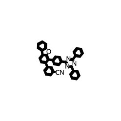 N#Cc1cccc(-c2ccc3c(oc4ccccc43)c2-c2ccc(-c3nc(-c4ccccc4)nc(-c4ccccc4)n3)cc2)c1